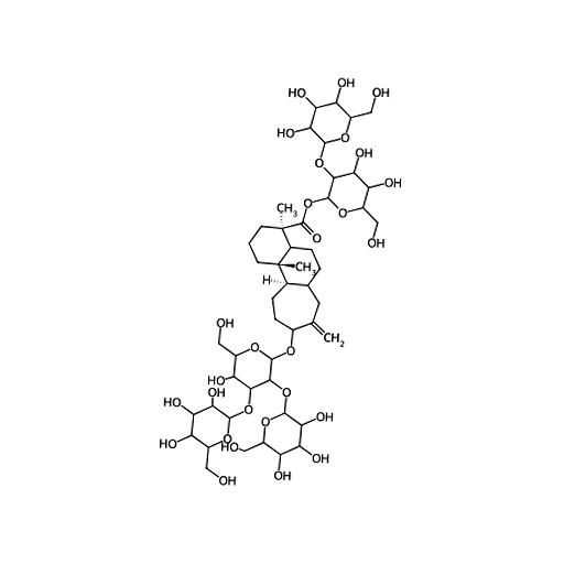 C=C1CC2CCC3[C@](C)(C(=O)OC4OC(CO)C(O)C(O)C4OC4OC(CO)C(O)C(O)C4O)CCC[C@@]3(C)[C@@H]2CCC1OC1OC(CO)C(O)C(OC2OC(CO)C(O)C(O)C2O)C1OC1OC(CO)C(O)C(O)C1O